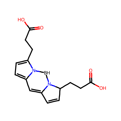 O=C(O)CCc1ccc2n1BN1C(=C2)C=CC1CCC(=O)O